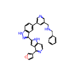 c1ccc(CNCc2cncc(-c3ccc4[nH]nc(-c5cc6c(-c7ccoc7)nccc6[nH]5)c4c3)c2)cc1